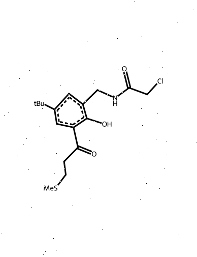 CSCCC(=O)c1cc(C(C)(C)C)cc(CNC(=O)CCl)c1O